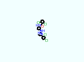 O=C(Nc1cccc(Nc2nccc(-c3ccc(Cl)cc3Cl)n2)c1)c1c(Cl)cccc1Cl